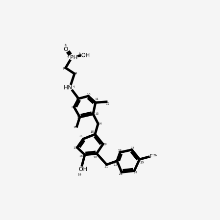 Cc1cc(NCC[PH](=O)O)cc(C)c1Cc1ccc(O)c(Cc2ccc(F)cc2)c1